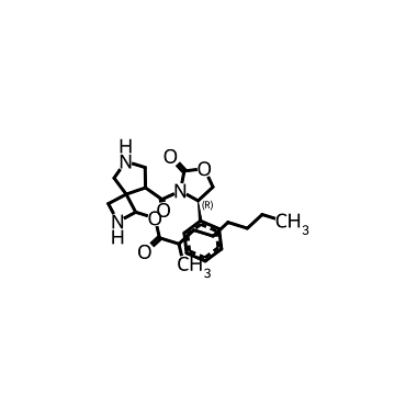 CCCCCCC(C)C(=O)OC1NCC12CNCC2C(=O)N1C(=O)OC[C@H]1c1ccccc1